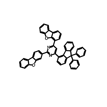 c1ccc(C2(c3ccccc3)c3ccccc3-c3c(-c4cc(-c5cccc6c5oc5ccccc56)nc(-c5ccc6c(c5)oc5ccccc56)n4)cccc32)cc1